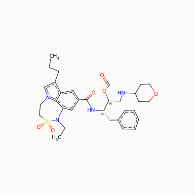 CCCc1cn2c3c(cc(C(=O)N[C@@H](Cc4ccccc4)[C@@H](CNC4CCOCC4)OC=O)cc13)N(CC)S(=O)(=O)CC2